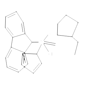 C[CH]C1CCCC1.[CH2]=[Zr]([Cl])([Cl])([CH]1C=CC=C1)[CH]1c2ccccc2-c2ccccc21